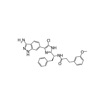 COc1cccc(CCC(=O)N[C@@H](Cc2ccccc2)c2nc(-c3ccc4c(N)n[nH]c4c3)c(Cl)[nH]2)c1